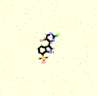 CP(C)(=O)c1cccc2c(-c3nc(Cl)ncc3Br)c[nH]c12